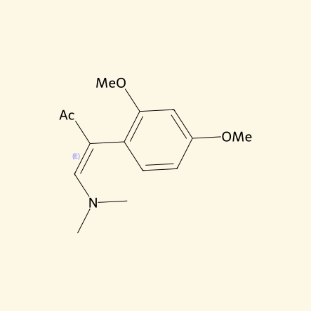 COc1ccc(/C(=C\N(C)C)C(C)=O)c(OC)c1